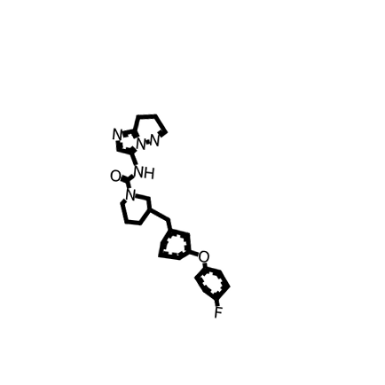 O=C(Nc1cnc2n1N=CCC2)N1CCCC(Cc2cccc(Oc3ccc(F)cc3)c2)C1